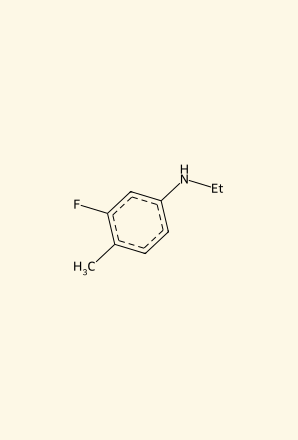 CCNc1ccc(C)c(F)c1